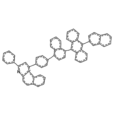 c1ccc(-c2cc(-c3ccc(-c4ccc(-c5c6ccccc6c(-c6ccc7ccccc7c6)c6ccccc56)c5ccccc45)cc3)c3c(ccc4ccccc43)n2)cc1